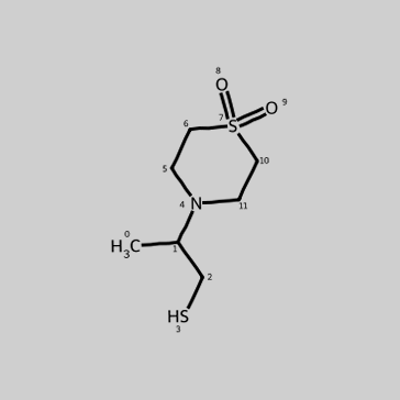 CC(CS)N1CCS(=O)(=O)CC1